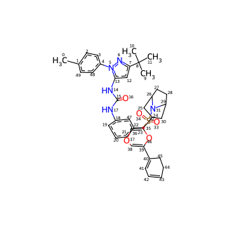 Cc1ccc(-n2nc(C(C)(C)C)cc2NC(=O)Nc2cccc(CC3CC4CCC(C3)N4S(=O)(=O)C3=COC=C(C4=CC=CCC4)O3)c2)cc1